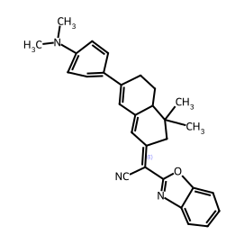 CN(C)c1ccc(C2=CC3=C/C(=C(\C#N)c4nc5ccccc5o4)CC(C)(C)C3CC2)cc1